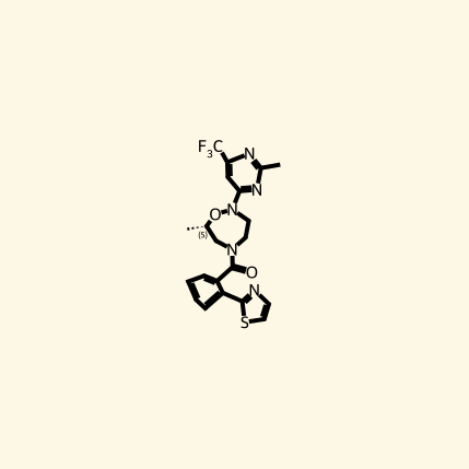 Cc1nc(N2CCN(C(=O)c3ccccc3-c3nccs3)C[C@H](C)O2)cc(C(F)(F)F)n1